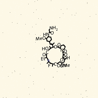 CCC1/C=C(\C)C(F)C(C)CC(OC)C2OC(O)(C(=O)C(=O)N3CCCCC3C(=O)OC(C(C)=CC3CCC(NC(=O)CN)C(OC)C3)C(C)C(O)CC1=O)C(C)CC2OC